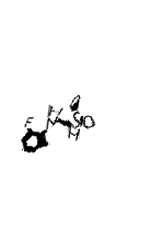 O=[SH](=O)CNc1cc[c]cc1F